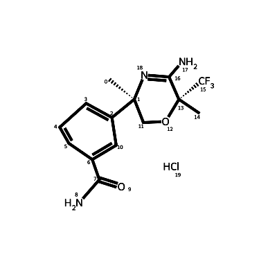 C[C@@]1(c2cccc(C(N)=O)c2)CO[C@@](C)(C(F)(F)F)C(N)=N1.Cl